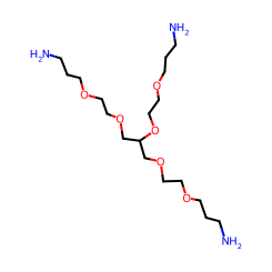 NCCCOCCOCC(COCCOCCCN)OCCOCCCN